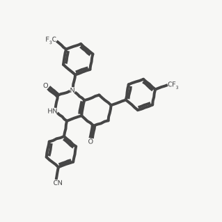 N#Cc1ccc(C2NC(=O)N(c3cccc(C(F)(F)F)c3)C3=C2C(=O)CC(c2ccc(C(F)(F)F)cc2)C3)cc1